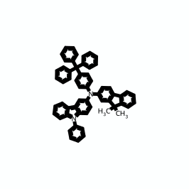 CC1(C)c2ccccc2-c2ccc(N(c3ccc(C(c4ccccc4)(c4ccccc4)c4ccccc4)cc3)c3ccc4c(c3)c3ccccc3n4-c3ccccc3)cc21